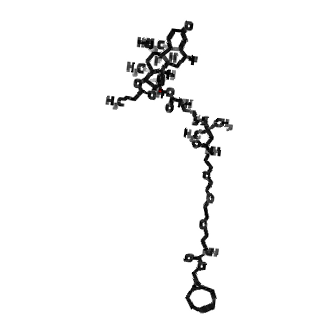 CCCC1O[C@@H]2C[C@H]3[C@@H]4C[C@H](F)C5=CC(=O)C=C[C@]5(C)[C@@]4(F)[C@@H](O)C[C@]3(C)[C@]2(C(=O)COC(=O)NCCSSC(C)(C)CC(=O)NCCOCCOCCOCCNC(=O)OCC2C3CCC#CCCC32)O1